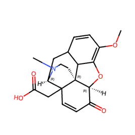 COC1=C2O[C@H]3C(=O)C=CC4(CC(=O)O)[C@H]5CC(C=C1)C2[C@@]34CCN5C